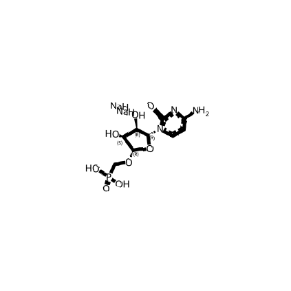 Nc1ccn([C@@H]2O[C@H](OCP(=O)(O)O)[C@@H](O)[C@H]2O)c(=O)n1.[NaH].[NaH]